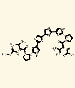 COC(=O)N[C@@H](C(=O)N1CCC[C@H]1c1nc(-c2ncc(-c3cnc(-c4c[nH]c([C@@H]5CCCN5C(=O)[C@H](NC(=O)O)C(C)C)n4)s3)s2)c[nH]1)C(C)C